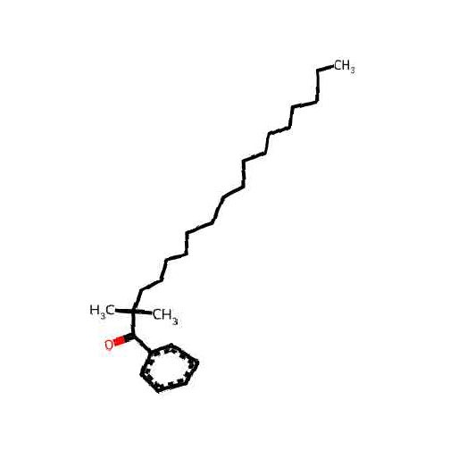 CCCCCCCCCCCCCCCCC(C)(C)C(=O)c1ccccc1